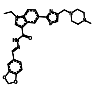 CCn1cc(C(=O)N/N=C/c2ccc3c(c2)OCO3)c2cc(-c3nc(CN4CCN(C)CC4)cs3)ccc21